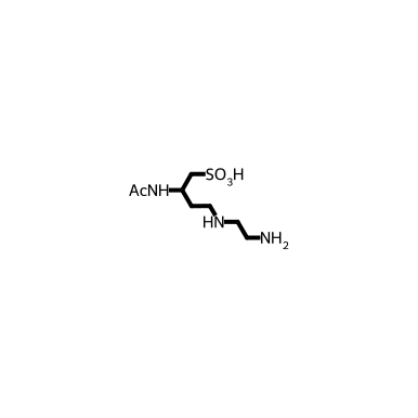 CC(=O)NC(CCNCCN)CS(=O)(=O)O